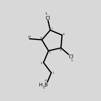 BCCC1C(Cl)CC(Cl)C1C